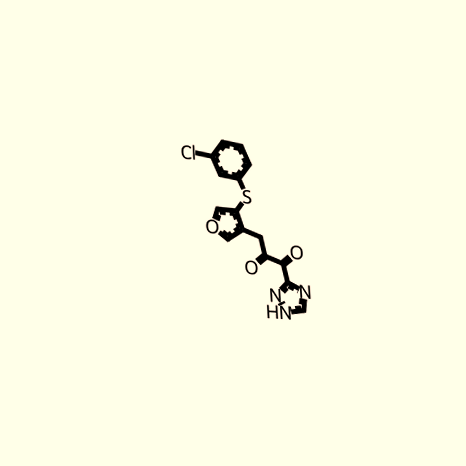 O=C(Cc1cocc1Sc1cccc(Cl)c1)C(=O)c1nc[nH]n1